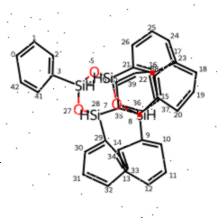 c1ccc([SiH](O[SiH](O[SiH](c2ccccc2)c2ccccc2)c2ccccc2)O[SiH](c2ccccc2)c2ccccc2)cc1